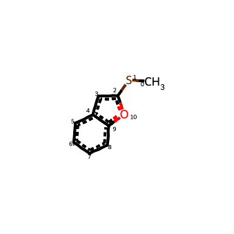 CSc1cc2c[c]ccc2o1